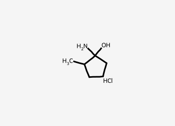 CC1CCCC1(N)O.Cl